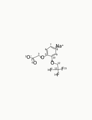 O=C([O-])COc1ccccc1OCC(F)(F)F.[Na+]